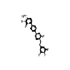 CCCc1ccc(-c2ccc(-c3ccc(CCc4cc(F)c(F)c(F)c4)c(F)c3)cc2)c(F)c1F